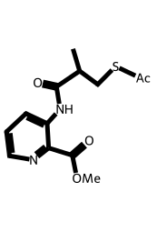 COC(=O)c1ncccc1NC(=O)C(C)CSC(C)=O